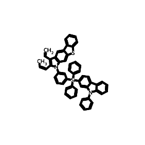 C=Cc1c(/C=C\C)n(-c2cccc([Si](c3ccccc3)(c3ccccc3)c3ccc4c5ccccc5n(-c5ccccc5)c4c3)c2)c2cc3sc4ccccc4c3cc12